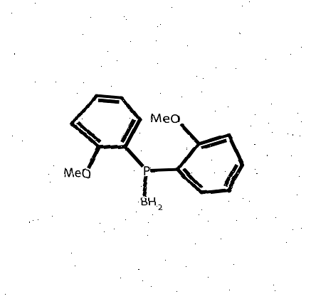 BP(c1ccccc1OC)c1ccccc1OC